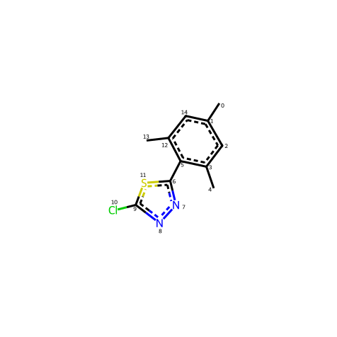 Cc1cc(C)c(-c2nnc(Cl)s2)c(C)c1